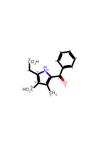 Cc1c(C(=O)c2ccccc2)[nH]c(CC(=O)O)c1C(=O)O